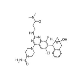 CN(C)C(=O)CCNc1nc(N2CCN(C(N)=O)CC2)c2cc(Cl)c(C3c4ccccc4CC4(O)C[C@H]34)c(F)c2n1